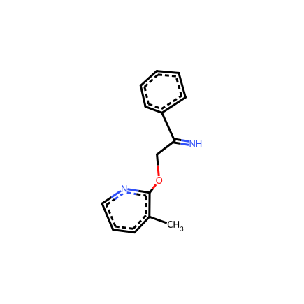 Cc1cccnc1OCC(=N)c1ccccc1